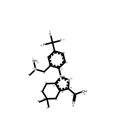 CN(N)Cc1cc(C(F)(F)F)ccc1-n1nc(C(=O)O)c2c1CCC(C)(C)C2